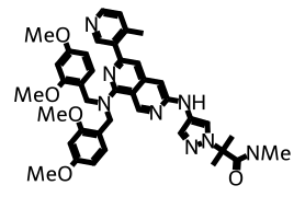 CNC(=O)C(C)(C)n1cc(Nc2cc3cc(-c4cnccc4C)nc(N(Cc4ccc(OC)cc4OC)Cc4ccc(OC)cc4OC)c3cn2)cn1